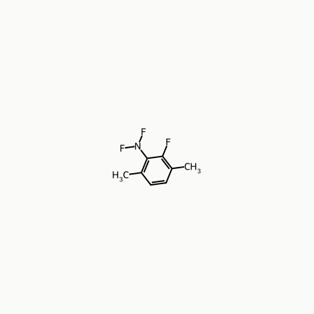 Cc1ccc(C)c(N(F)F)c1F